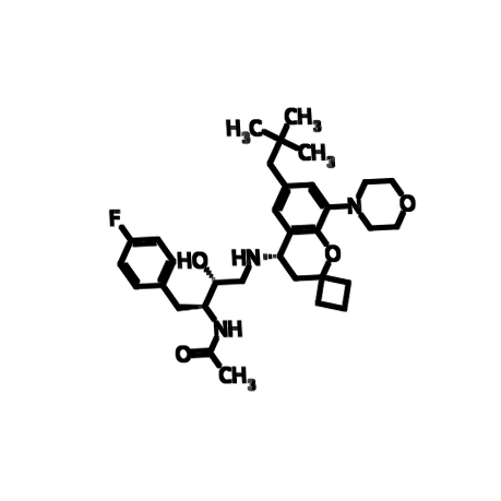 CC(=O)N[C@@H](Cc1ccc(F)cc1)[C@H](O)CN[C@H]1CC2(CCC2)Oc2c1cc(CC(C)(C)C)cc2N1CCOCC1